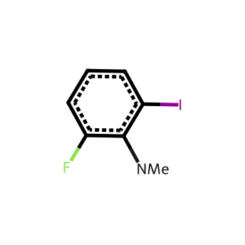 CNc1c(F)cccc1I